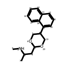 CNC(C)CC1OCC(c2cccc3ccccc23)CO1